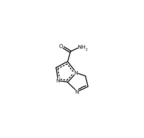 NC(=O)c1cnc2n1CC=N2